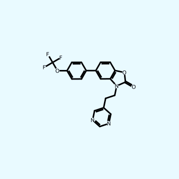 O=c1oc2ccc(-c3ccc(OC(F)(F)F)cc3)cc2n1CCc1cncnc1